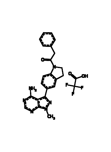 Cn1nc(-c2ccc3c(c2)CCN3C(=O)Cc2ccccc2)c2c(N)ncnc21.O=C(O)C(F)(F)F